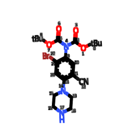 CC(C)(C)OC(=O)N(C(=O)OC(C)(C)C)c1cc(C#N)c(N2CCNCC2)cc1Br